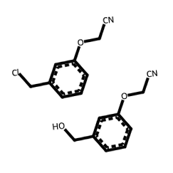 N#CCOc1cccc(CCl)c1.N#CCOc1cccc(CO)c1